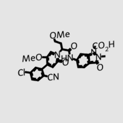 COCCC(C(=O)Nc1ccc2c(=O)n(C)n(C(=O)O)c2c1)n1cc(OC)c(-c2cc(Cl)ccc2C#N)cc1=O